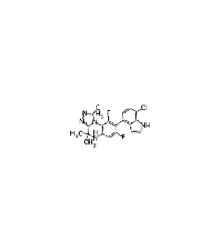 Cc1nnc2n1-c1c(cc(F)c(-c3ccc(Cl)c4[nH]ccc34)c1F)NC2(C)C